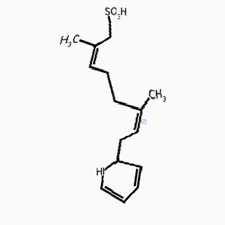 CC(=CCC/C(C)=C\CC1C=CC=C[IH]1)CS(=O)(=O)O